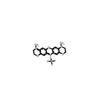 CN1CCOc2cc3c(cc21)Oc1cc2c(cc1=N3)OCC[N+]=2C.F[B-](F)(F)F